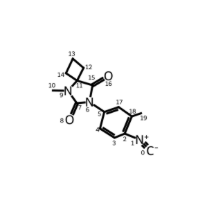 [C-]#[N+]c1ccc(N2C(=O)N(C)C3(CCC3)C2=O)cc1C